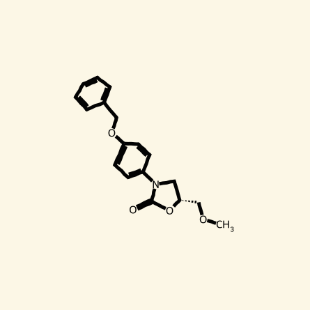 COC[C@H]1CN(c2ccc(OCc3ccccc3)cc2)C(=O)O1